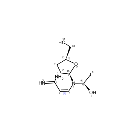 N=C(N)/C=C\N([C@H](O)I)[C@H]1CC[C@@H](CO)O1